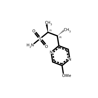 COc1cnc([C@@H](C)[C@H](C)S(N)(=O)=O)cn1